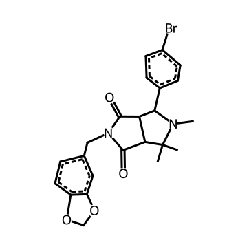 CN1C(c2ccc(Br)cc2)C2C(=O)N(Cc3ccc4c(c3)OCO4)C(=O)C2C1(C)C